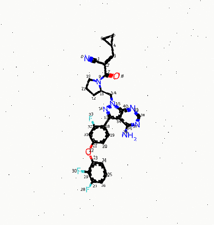 N#CC(=CC1CC1)C(=O)N1CCCC1Cn1nc(-c2ccc(Oc3cccc(F)c3F)cc2F)c2c(N)ncnc21